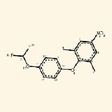 Cc1cc([N+](=O)[O-])cc(C)c1Oc1ccc(OC(F)F)cc1